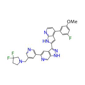 COc1cc(F)cc(-c2ccnc3[nH]c(-c4n[nH]c5cnc(-c6cncc(CN7CCC(F)(F)C7)c6)cc45)cc23)c1